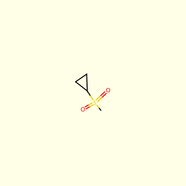 CS(=O)(=O)[C]1CC1